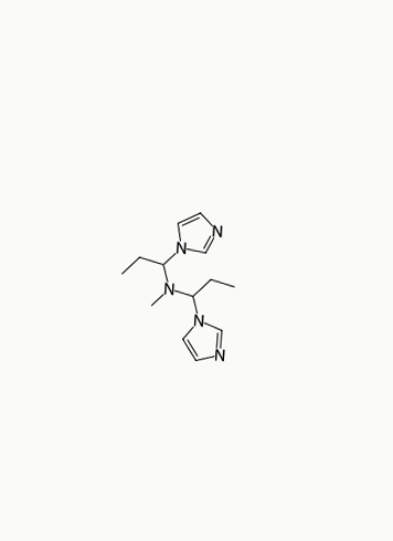 CCC(N(C)C(CC)n1ccnc1)n1ccnc1